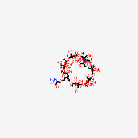 NC(CSCC1O[C@@H]2O[C@@H]3C(CO)O[C@@H](O[C@@H]4C(CO)O[C@@H](O[C@H]5CC(O)[C@@H](OC5CSC[C@@H](N)C(=O)O)O[C@@H]5C(CO)O[C@H](O[C@@H]6C(CO)O[C@H](O[C@@H]7C(CO)O[C@H](O[C@H]1[C@H](O)C2O)C(O)[C@H]7O)C(O)C6O)C(O)C5O)C(O)C4O)C(O)C3O)C(=O)O